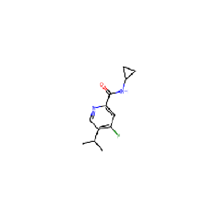 CC(C)c1cnc(C(=O)NC2CC2)cc1F